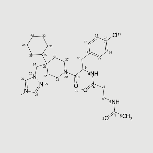 CC(=O)NCCC(=O)NC(Cc1ccc(Cl)cc1)C(=O)N1CCC(Cn2cncn2)(C2CCCCC2)CC1